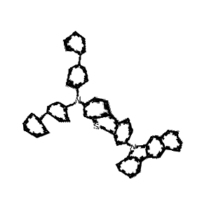 c1ccc(-c2ccc(N(c3ccc(-c4ccccc4)cc3)c3ccc4c(c3)sc3cc(-n5c6ccccc6c6cc7ccccc7cc65)ccc34)cc2)cc1